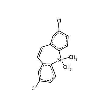 [CH3][Sn]1([CH3])[c]2ccc(Cl)cc2C=Cc2cc(Cl)cc[c]21